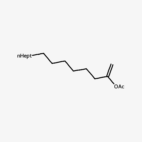 C=C(CCCCCCCCCCCCC)OC(C)=O